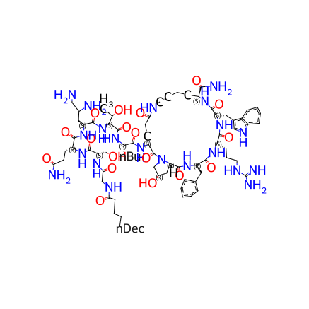 CCCCCCCCCCCCCC(=O)NCC(=O)N[C@@H](CO)C(=O)N[C@H](CCC(N)=O)C(=O)N[C@@H](CC(N)CN)C(=O)N[C@H](C(=O)N[C@@H](CCCC)C(=O)N[C@H]1CCC(=O)NCCCC[C@@H](C(N)=O)NC(=O)[C@H](Cc2c[nH]c3ccccc23)NC(=O)[C@H](CCCNC(=N)N)NC(=O)[C@@H](Cc2ccccc2)NC(=O)[C@@H]2C[C@@H](O)CN2C1=O)C(C)O